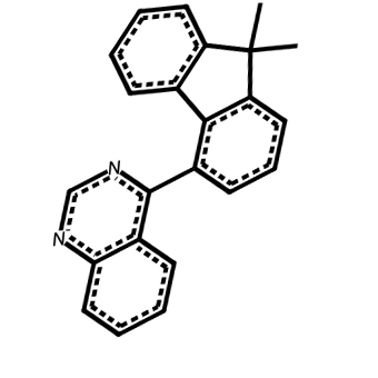 CC1(C)c2ccccc2-c2c(-c3ncnc4ccccc34)cccc21